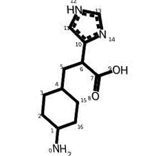 NC1CCC(CC(C(=O)O)c2c[nH]cn2)CC1